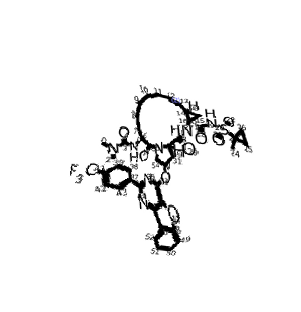 CN(C)C(=O)N[C@H]1CCCCC/C=C\[C@@H]2C[C@@]2(C(=O)NS(=O)(=O)C2(C)CC2)NC(=O)[C@@H]2C[C@@H](Oc3nc(-c4ccc(C(F)(F)F)cc4)nc4c3oc3ccccc34)CN2C1=O